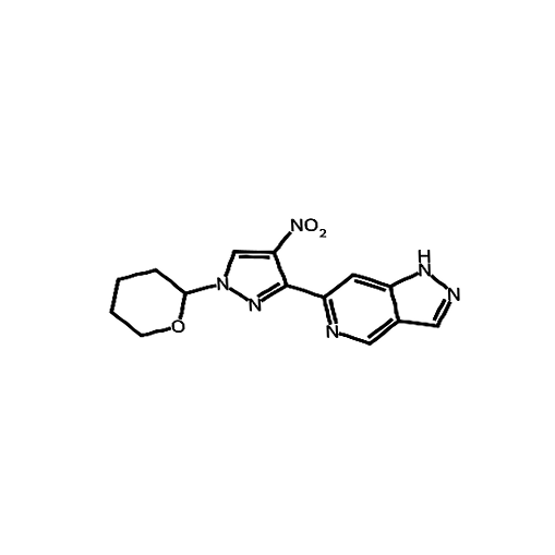 O=[N+]([O-])c1cn(C2CCCCO2)nc1-c1cc2[nH]ncc2cn1